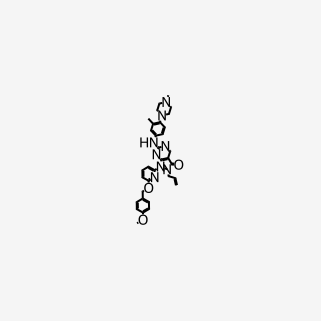 C=CCn1c(=O)c2cnc(Nc3ccc(N4CCN(C)CC4)c(C)c3)nc2n1-c1cccc(OCc2ccc(OC)cc2)n1